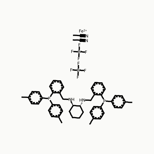 CC#N.CC#N.Cc1ccc(P(c2ccc(C)cc2)c2ccccc2CN[C@@H]2CCCC[C@H]2NCc2ccccc2P(c2ccc(C)cc2)c2ccc(C)cc2)cc1.F[B-](F)(F)F.F[B-](F)(F)F.[Fe+2]